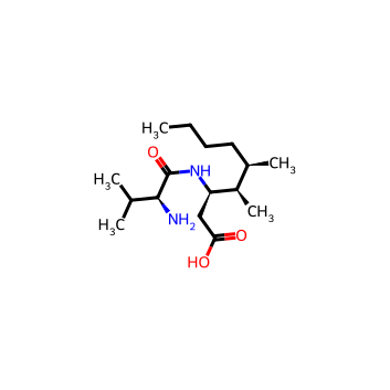 CCCC[C@@H](C)[C@@H](C)[C@@H](CC(=O)O)NC(=O)[C@@H](N)C(C)C